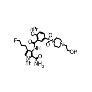 CCCOc1ccc(S(=O)(=O)N2CCN(CCO)CC2)cc1C(=O)Nc1c(CCCF)cn(CC)c1C(N)=O